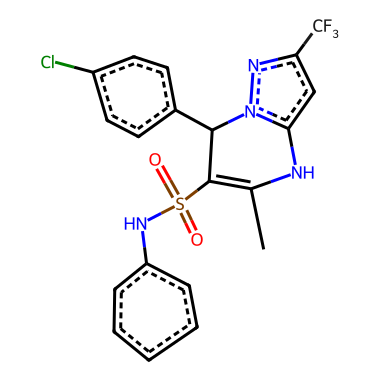 CC1=C(S(=O)(=O)Nc2ccccc2)C(c2ccc(Cl)cc2)n2nc(C(F)(F)F)cc2N1